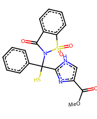 COC(=O)c1c[nH]c(C(S)(c2ccccc2)N2C(=O)c3ccccc3S2(=O)=O)n1